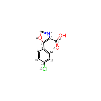 O=C(O)c1ncoc1-c1ccc(Cl)cc1